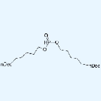 CCCCCCCCCCCCCCCO[PH](=O)OCCCCCCCCCCCCCCC